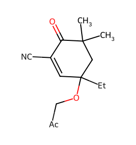 CCC1(OCC(C)=O)C=C(C#N)C(=O)C(C)(C)C1